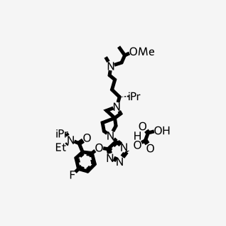 CCN(C(=O)c1cc(F)ccc1Oc1nncnc1N1CCC2(C1)CN([C@H](CCCN(C)CC(C)OC)C(C)C)C2)C(C)C.O=C(O)C(=O)O